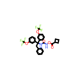 O=C(NOC(=O)C1CCC1)NC(Cc1ccccc1)(c1cccc(OC(F)(F)F)c1)c1cccc(OC(F)(F)F)c1